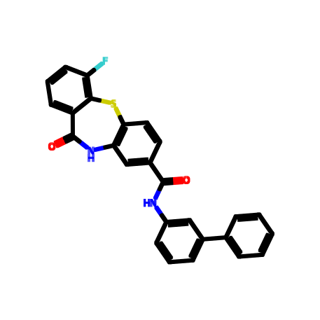 O=C(Nc1cccc(-c2ccccc2)c1)c1ccc2c(c1)NC(=O)c1cccc(F)c1S2